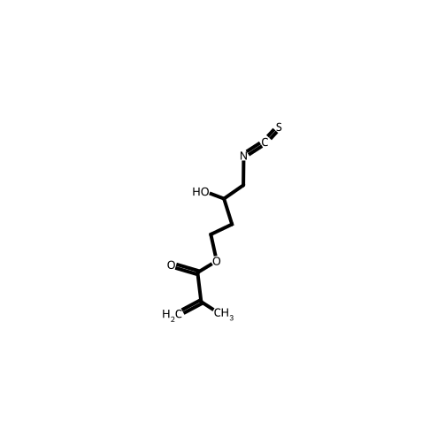 C=C(C)C(=O)OCCC(O)CN=C=S